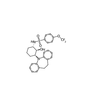 O=S(=O)(N[C@H]1CCC[C@H](N2c3ccccc3CCc3ccccc32)[C@@H]1O)c1ccc(OC(F)(F)F)cc1